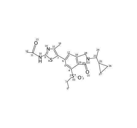 CC[S@@+]([O-])c1cc(-c2sc(NC(C)=O)nc2C)cc2c1C(=O)N(C(C)C1CC1)C2